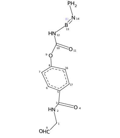 O=CCNC(=O)c1ccc(OC(=O)N/B=N/P)cc1